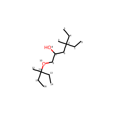 CCC(C)(CC)CC(O)COC(C)(CC)CC